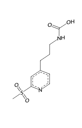 CS(=O)(=O)c1cc(CCCNC(=O)O)ccn1